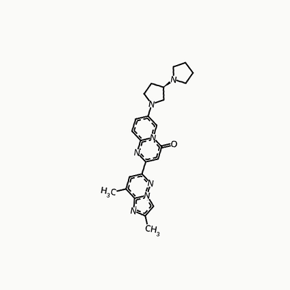 Cc1cn2nc(-c3cc(=O)n4cc(N5CC[C@@H](N6CCCC6)C5)ccc4n3)cc(C)c2n1